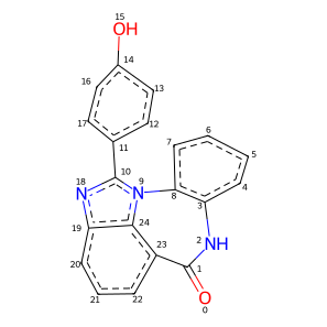 O=C1Nc2ccccc2-n2c(-c3ccc(O)cc3)nc3cccc1c32